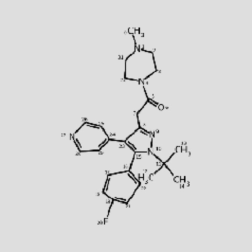 CN1CCN(C(=O)Cc2nn(C(C)(C)C)c(-c3ccc(F)cc3)c2-c2ccncc2)CC1